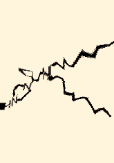 CCCCCCCCCN(CCCCCCCCC)CCC(=O)N1CCNCC1